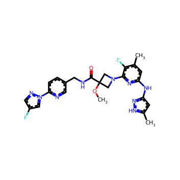 COC1(C(=O)NCc2ccc(-n3cc(F)cn3)nc2)CN(c2nc(Nc3cc(C)[nH]n3)cc(C)c2F)C1